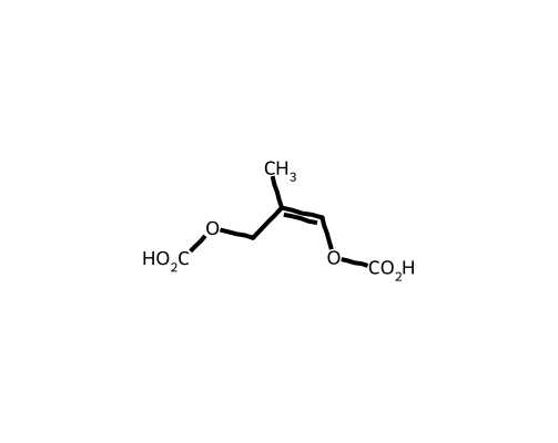 CC(=COC(=O)O)COC(=O)O